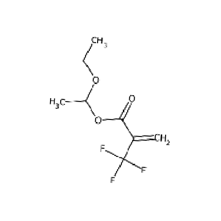 C=C(C(=O)OC(C)OCC)C(F)(F)F